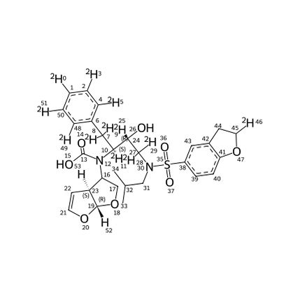 [2H]c1c([2H])c([2H])c(C([2H])([2H])[C@]([2H])(N(C(=O)O)C2CO[C@@H]3OC=C[C@@H]23)[C@]([2H])(O)C([2H])([2H])N(CC(C)C)S(=O)(=O)c2ccc3c(c2)CC([2H])O3)c([2H])c1[2H]